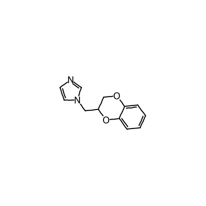 c1ccc2c(c1)OCC(Cn1ccnc1)O2